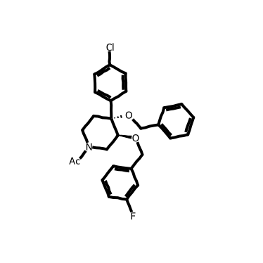 CC(=O)N1CC[C@@](OCc2ccccc2)(c2ccc(Cl)cc2)[C@@H](OCc2cccc(F)c2)C1